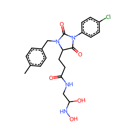 Cc1ccc(CN2C(=O)N(c3ccc(Cl)cc3)C(=O)C2CCC(=O)NCC(O)NO)cc1